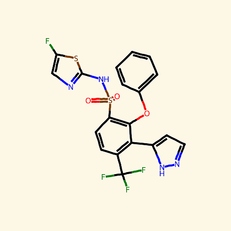 O=S(=O)(Nc1ncc(F)s1)c1ccc(C(F)(F)F)c(-c2ccn[nH]2)c1Oc1ccccc1